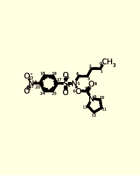 CCCCCN(OC(=O)N1CCCC1)S(=O)(=O)c1ccc([N+](=O)[O-])cc1